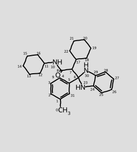 Cc1cccc(C2(C(C(=O)NC3CCCCC3)C3CCCCC3)Nc3ccccc3N2)c1